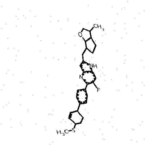 CSC1C=CC(c2ccc(-c3nc4cc(CC5CCC6C(C)COC56)[nH]c4cc3F)cc2)CC1